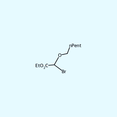 CCCCCCOC(Br)C(=O)OCC